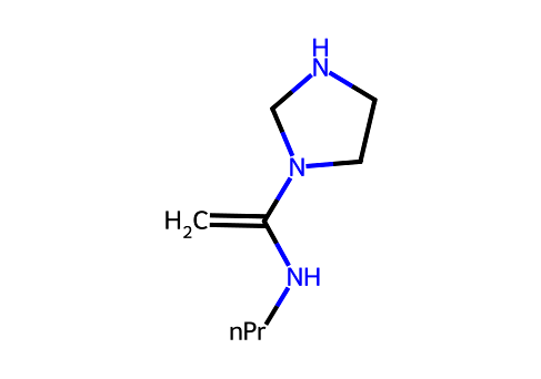 C=C(NCCC)N1CCNC1